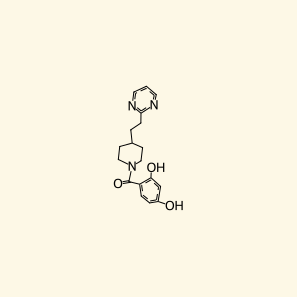 O=C(c1ccc(O)cc1O)N1CCC(CCc2ncccn2)CC1